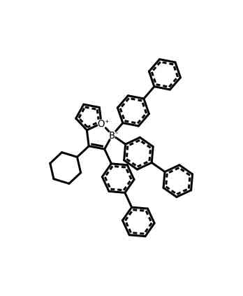 c1ccc(-c2ccc(C3=C(C4CCCCC4)c4ccc[o+]4[B-]3(c3ccc(-c4ccccc4)cc3)c3ccc(-c4ccccc4)cc3)cc2)cc1